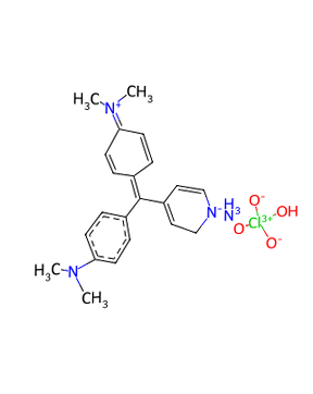 CN(C)c1ccc(C(C2=CC[N-]C=C2)=C2C=CC(=[N+](C)C)C=C2)cc1.N.[O-][Cl+3]([O-])([O-])O